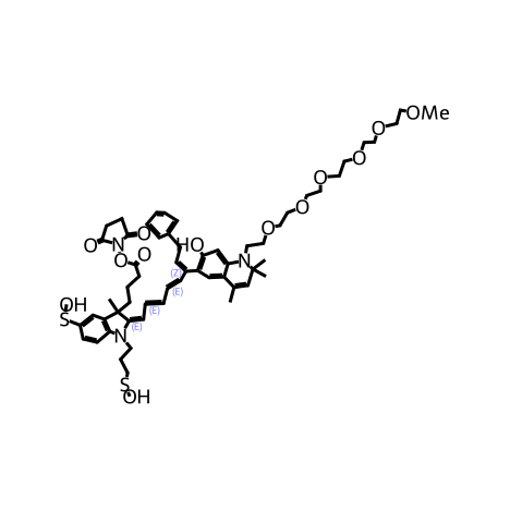 COCCOCCOCCOCCOCCOCCN1c2cc(O)c(C(=C\Cc3ccccc3)/C=C/C=C/C=C3/N(CCCSO)c4ccc(SO)cc4C3(C)CCCC(=O)ON3C(=O)CCC3=O)cc2C(C)=CC1(C)C